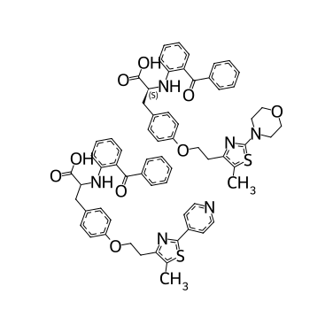 Cc1sc(-c2ccncc2)nc1CCOc1ccc(CC(Nc2ccccc2C(=O)c2ccccc2)C(=O)O)cc1.Cc1sc(N2CCOCC2)nc1CCOc1ccc(C[C@H](Nc2ccccc2C(=O)c2ccccc2)C(=O)O)cc1